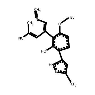 C=N/C=C(\C=C(/C)C#N)c1c(OCCCC)ccc(-c2cc(C(F)(F)F)n[nH]2)c1O